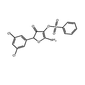 NC1=C(OS(=O)(=O)c2ccccc2)C(=O)C(c2cc(Cl)cc(Cl)c2)O1